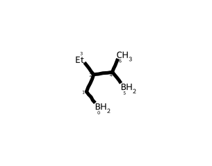 BCC(CC)C(B)C